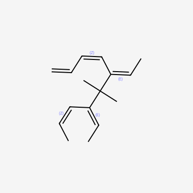 C=C/C=C\C(=C/C)C(C)(C)C(/C=C\C)=C/C